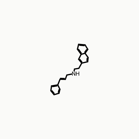 C(=C\c1ccccc1)/CNCCc1ccc2ccccc2c1